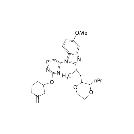 CCCC1OCCOC1CC(C)c1nc2cc(OC)ccc2n1-c1ccnc(OC2CCCNC2)n1